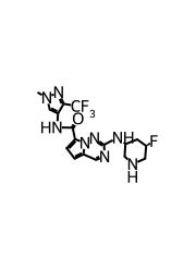 Cn1cc(NC(=O)c2ccc3cnc(N[C@H]4CNC[C@H](F)C4)nn23)c(C(F)(F)F)n1